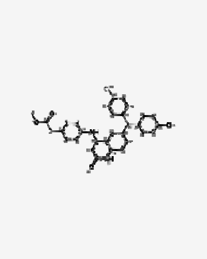 COC(=O)Cc1ccc(Nc2cc(=O)[nH]c3ccc(C(c4ccc(Cl)cc4)c4ccc(Cl)cc4)cc23)cc1